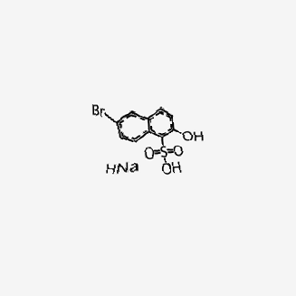 O=S(=O)(O)c1c(O)ccc2cc(Br)ccc12.[NaH]